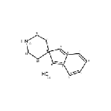 C1=c2ccccc2=CC12CCNCC2.Cl